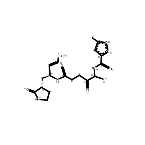 CCOC(=O)/C=C/[C@H](C[C@@H]1CCNC1=O)NC(=O)CCC(=O)C(NC(=O)c1cc(C)on1)C(C)C